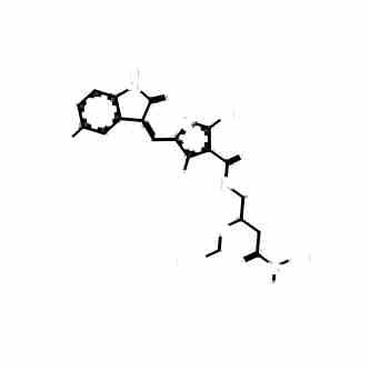 CCOC(CNC(=O)c1c(C)[nH]c(/C=C2\C(=O)Nc3ccc(F)cc32)c1C)CC(=O)N(C)C